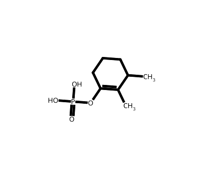 CC1=C(OP(=O)(O)O)CCCC1C